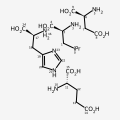 CC(C)C[C@H](N)C(=O)O.N[C@@H](CC(=O)O)C(=O)O.N[C@@H](CCC(=O)O)C(=O)O.N[C@@H](Cc1c[nH]cn1)C(=O)O